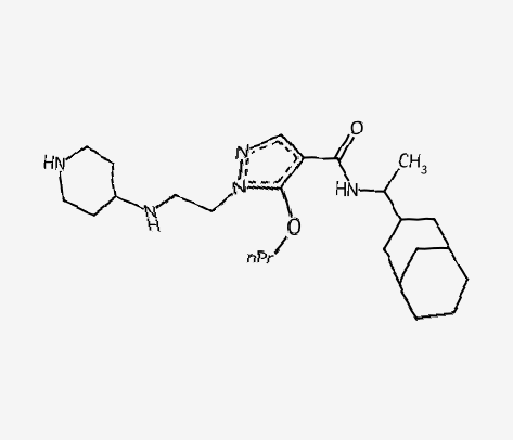 CCCOc1c(C(=O)NC(C)C2CC3CCCC(C3)C2)cnn1CCNC1CCNCC1